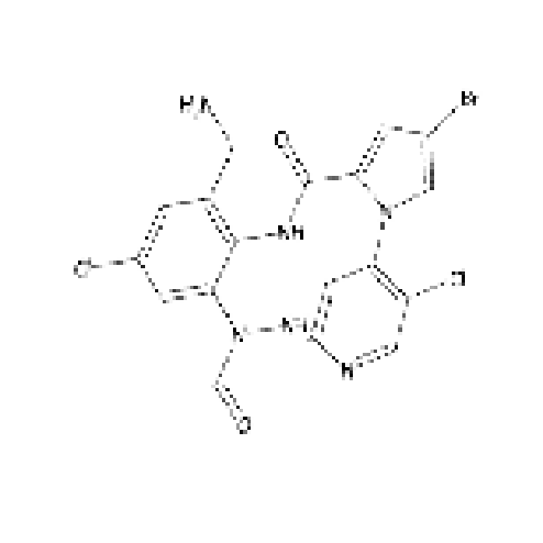 NCc1cc(Cl)cc(N(N)C=O)c1NC(=O)c1cc(Br)cn1-c1ccncc1Cl